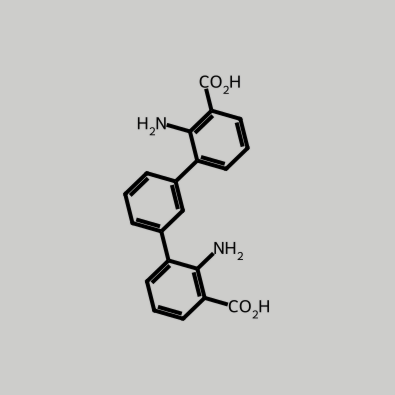 Nc1c(C(=O)O)cccc1-c1cccc(-c2cccc(C(=O)O)c2N)c1